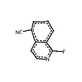 N#Cc1cccc2c(F)nccc12